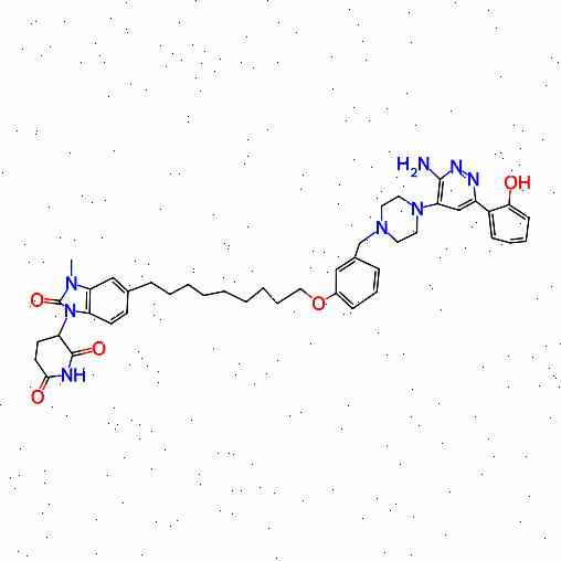 Cn1c(=O)n(C2CCC(=O)NC2=O)c2ccc(CCCCCCCCCOc3cccc(CN4CCN(c5cc(-c6ccccc6O)nnc5N)CC4)c3)cc21